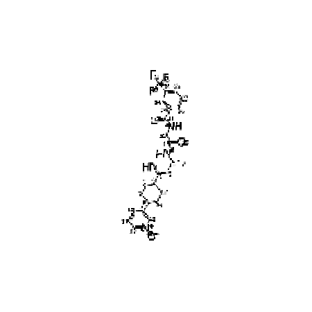 C[C@H](CC(=N)C1CCC(c2ccc[n+]([O-])c2)CC1)NC(=O)CNC(=O)c1cccc(C(F)(F)F)c1